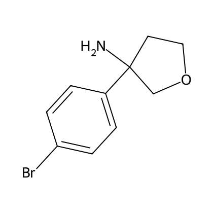 NC1(c2ccc(Br)cc2)CCOC1